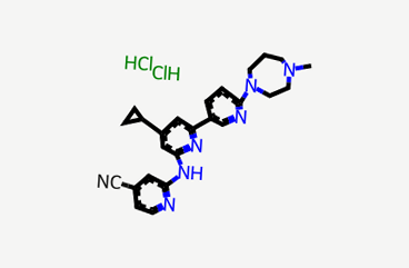 CN1CCCN(c2ccc(-c3cc(C4CC4)cc(Nc4cc(C#N)ccn4)n3)cn2)CC1.Cl.Cl